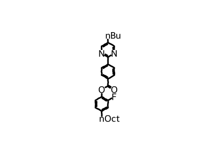 CCCCCCCCc1ccc(OC(=O)c2ccc(-c3ncc(CCCC)cn3)cc2)c(F)c1